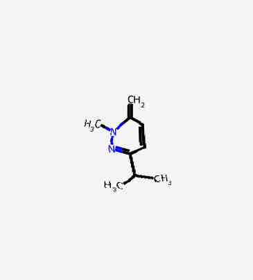 C=C1C=CC(C(C)C)=NN1C